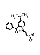 CC(C)c1ccc(NC=C[N+](=O)[O-])c(C(=O)c2ccccc2)c1